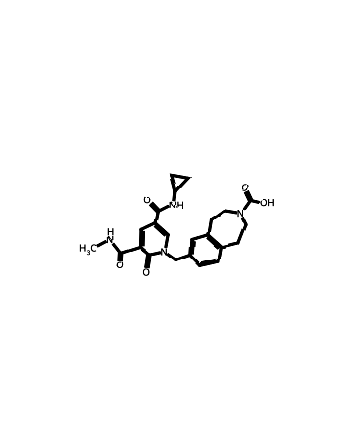 CNC(=O)c1cc(C(=O)NC2CC2)cn(Cc2ccc3c(c2)CCN(C(=O)O)CC3)c1=O